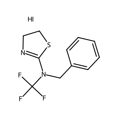 FC(F)(F)N(Cc1ccccc1)C1=NCCS1.I